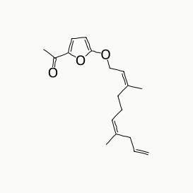 C=CCC(C)=CCCC(C)=CCOc1ccc(C(C)=O)o1